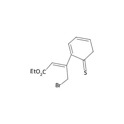 CCOC(=O)C=C(CBr)C1=CC=CCC1=S